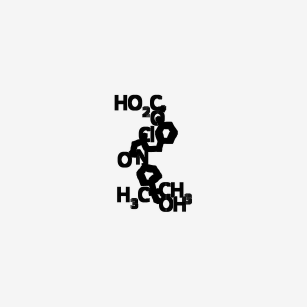 CC(C)(CO)c1ccc(N2C(=O)CC(Cl)C2Cc2cccc(OCC(=O)O)c2)cc1